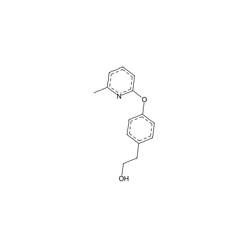 Cc1cccc(Oc2ccc(CCO)cc2)n1